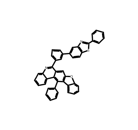 c1ccc(-c2nc3cc(-c4cccc(-c5nc6ccccc6c6c(-c7ccccc7)c7c(cc56)oc5ccccc57)c4)ccc3s2)cc1